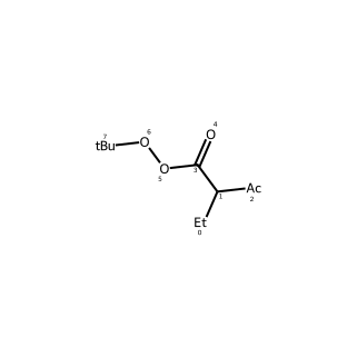 CCC(C(C)=O)C(=O)OOC(C)(C)C